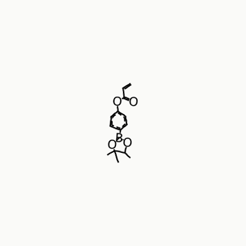 C=CC(=O)Oc1ccc(B2OC(C)C(C)(C)O2)cc1